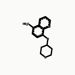 O=C(O)c1ccc(OC2CCOCC2)c2ncccc12